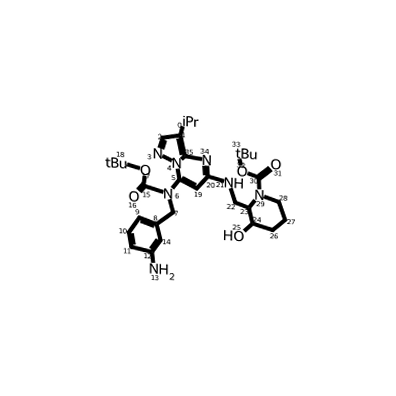 CC(C)c1cnn2c(N(Cc3cccc(N)c3)C(=O)OC(C)(C)C)cc(NCC3C(O)CCCN3C(=O)OC(C)(C)C)nc12